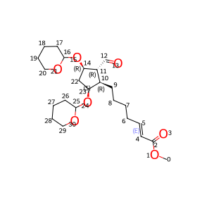 COC(=O)/C=C/CCCC[C@@H]1[C@@H](C=O)[C@H](OC2CCCCO2)C[C@@H]1OC1CCCCO1